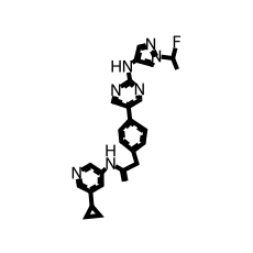 C=C(Cc1ccc(-c2cnc(Nc3cnn(C(C)F)c3)nc2)cc1)Nc1cncc(C2CC2)c1